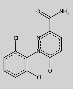 NC(=O)c1ccc(=O)n(-c2c(Cl)cccc2Cl)n1